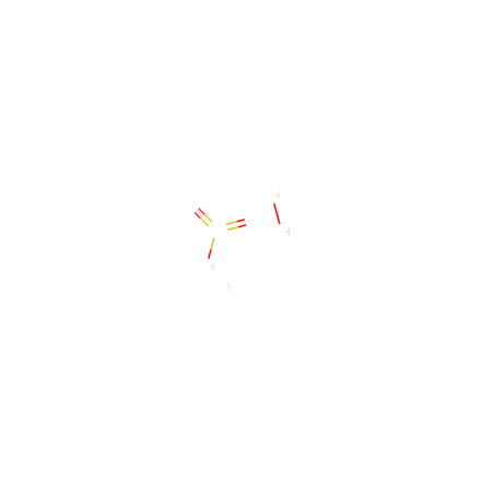 O=[S-](=O)O.OO.[K+]